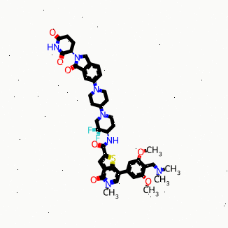 COc1cc(-c2cn(C)c(=O)c3cc(C(=O)N[C@H]4CCN(C5CCN(c6ccc7c(c6)C(=O)N([C@H]6CCC(=O)NC6=O)C7)CC5)CC4(F)F)sc23)cc(OC)c1CN(C)C